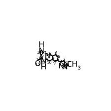 Cn1cc(-c2ccc3c(c2)CC(N/C(=C\O)C2CNC2)N=C3)nn1